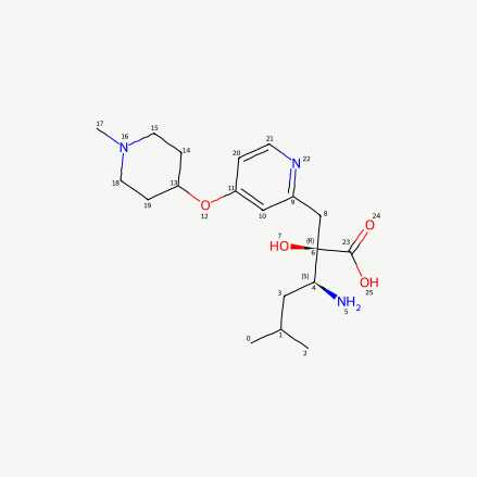 CC(C)C[C@H](N)[C@](O)(Cc1cc(OC2CCN(C)CC2)ccn1)C(=O)O